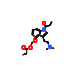 CCC(=O)OCOc1cccc2c1c(CCN(C)C)cn2C(=O)CC